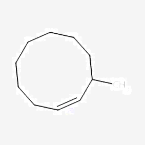 CC1/C=C\CCCCCCC1